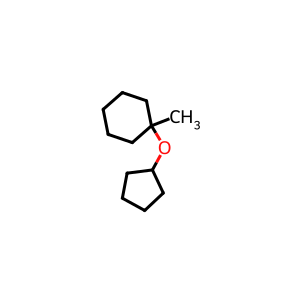 CC1(OC2CCCC2)CCCCC1